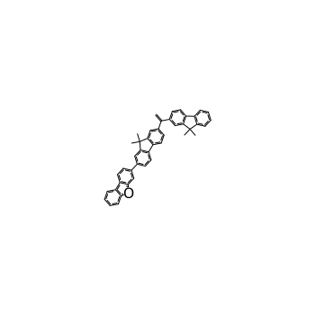 C=C(c1ccc2c(c1)C(C)(C)c1ccccc1-2)c1ccc2c(c1)C(C)(C)c1cc(-c3ccc4c(c3)oc3ccccc34)ccc1-2